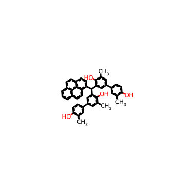 Cc1cc(-c2cc(C)c(O)c(C(c3cc(-c4ccc(O)c(C)c4)cc(C)c3O)c3ccc4ccc5cccc6ccc3c4c56)c2)ccc1O